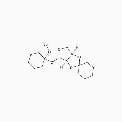 CCOC1(OC2OC[C@H]3OC4(CCCCC4)O[C@@H]23)CCCCC1